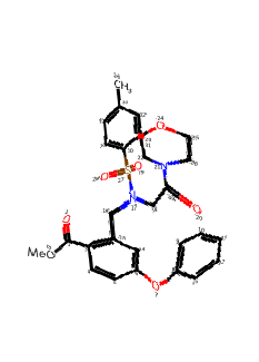 COC(=O)c1ccc(Oc2ccccc2)cc1CN(CC(=O)N1CCOCC1)S(=O)(=O)c1ccc(C)cc1